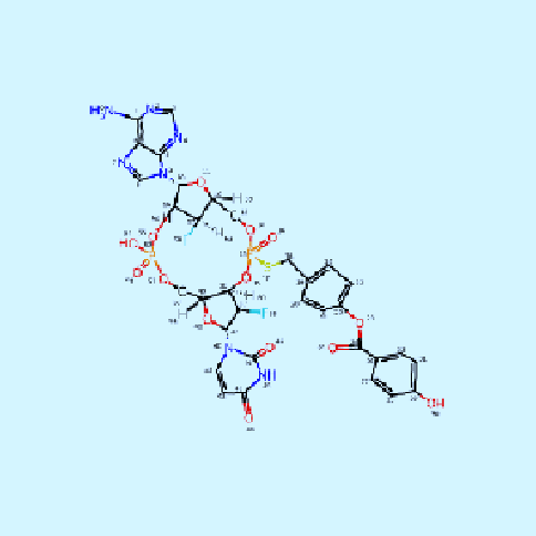 Nc1ncnc2c1ncn2[C@@H]1O[C@@H]2CO[P@@](=O)(SCc3ccc(OC(=O)c4ccc(O)cc4)cc3)O[C@H]3[C@@H](F)[C@H](n4ccc(=O)[nH]c4=O)O[C@@H]3COP(=O)(O)O[C@@H]1[C@@H]2F